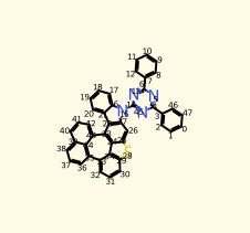 c1ccc(-c2nc(-c3ccccc3)nc(-n3c4ccccc4c4c5c6c(cc43)sc3cccc(c36)-c3cccc4cccc-5c34)n2)cc1